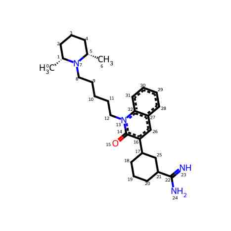 C[C@@H]1CCC[C@H](C)N1CCCCCn1c(=O)c(C2CCCC(C(=N)N)C2)cc2ccccc21